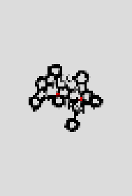 CC1=CC=CC2c3cccc(C)c3N(c3cc(-n4c5ccccc5c5ccc6c7ccccc7n(-c7ccccc7)c6c54)c(C#N)cc3-c3nc(-c4ccccc4)nc(-c4ccccc4)n3)C12